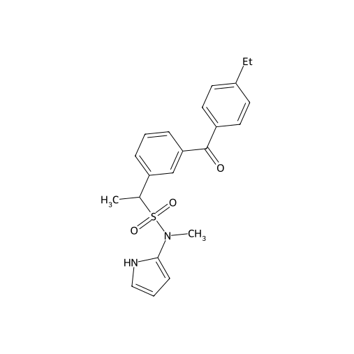 CCc1ccc(C(=O)c2cccc(C(C)S(=O)(=O)N(C)c3ccc[nH]3)c2)cc1